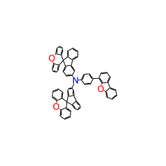 c1ccc2c(c1)Oc1ccccc1C21c2ccccc2-c2cc(N(c3ccc(-c4cccc5c4oc4ccccc45)cc3)c3ccc4c(c3)-c3ccccc3C43c4ccccc4Oc4ccccc43)ccc21